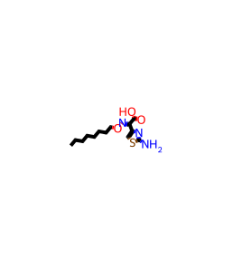 CCCCCCCCO/N=C(/C(=O)O)c1csc(N)n1